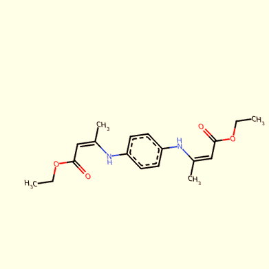 CCOC(=O)/C=C(/C)Nc1ccc(N/C(C)=C\C(=O)OCC)cc1